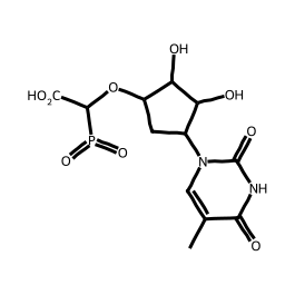 Cc1cn(C2CC(OC(C(=O)O)P(=O)=O)C(O)C2O)c(=O)[nH]c1=O